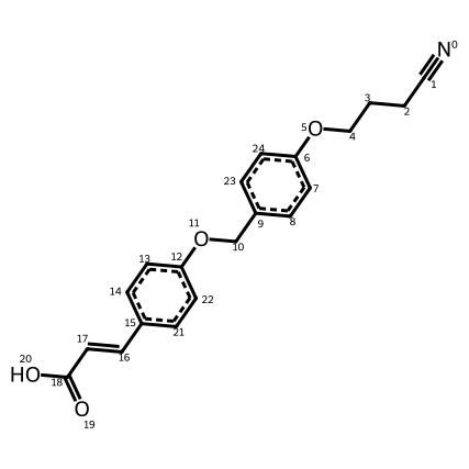 N#CCCCOc1ccc(COc2ccc(/C=C/C(=O)O)cc2)cc1